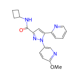 COc1ccc(-n2nc(C(=O)NC3CCC3)cc2-c2ccccn2)cn1